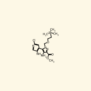 COC(=O)c1nn(COCC[Si](C)(C)C)c(-c2cc(Cl)ncc2N)c1N